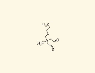 CCCOCC(C)(CC=O)CC=O